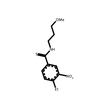 CCc1ccc(C(=S)NCCCOC)cc1[N+](=O)[O-]